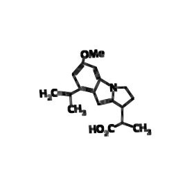 C=C(C)c1cc(OC)cc2c1cc1n2CCC1C(C)C(=O)O